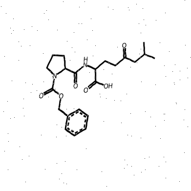 CC(C)CC(=O)CCC(NC(=O)C1CCCN1C(=O)OCc1ccccc1)C(=O)O